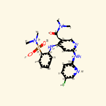 CN(C)C(=O)c1cnc(Nc2ccc(F)cn2)cc1Nc1ccccc1S(=O)(=O)N(C)C